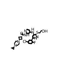 O=C(Nc1cc(Nc2cc(-c3cc(Cl)ccc3F)nnc2SCCO)ccn1)[C@H]1C[C@H](N2CCN(C3CC3)CC2)C1